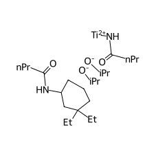 CC(C)[O-].CC(C)[O-].CCCC(=O)NC1CCCC(CC)(CC)C1.CCCC(=O)[NH][Ti+2]